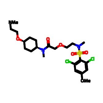 CNCCO[C@H]1CC[C@@H](N(C)C(=O)COCCN(C)S(=O)(=O)c2c(Cl)cc(OC)cc2Cl)CC1